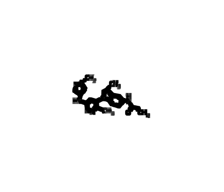 C=CC(=O)Nc1ccc2c(c1)c(C)cn2-c1cc(Nc2cnn(C)c2)nnc1C